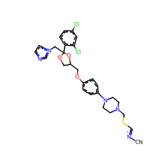 N#C/N=C/SCN1CCN(c2ccc(OCC3COC(Cn4ccnc4)(c4ccc(Cl)cc4Cl)O3)cc2)CC1